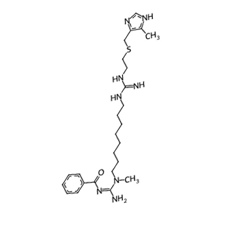 Cc1[nH]cnc1CSCCNC(=N)NCCCCCCCCN(C)C(N)=NC(=O)c1ccccc1